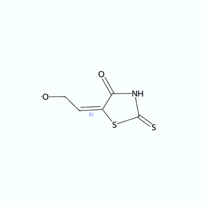 [O]C/C=C1/SC(=S)NC1=O